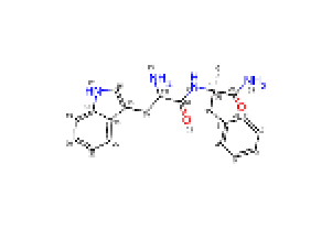 C[C@](Cc1ccccc1)(NC(=O)C(N)Cc1c[nH]c2ccccc12)C(N)=O